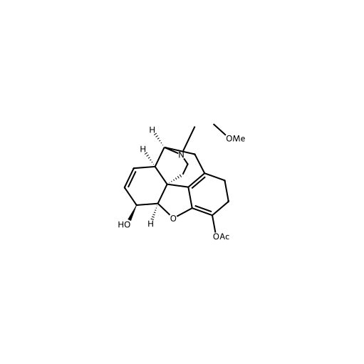 CC(=O)OC1=C2O[C@H]3[C@@H](O)C=C[C@H]4[C@H]5CC(=C2[C@]43CCN5C)CC1.COC